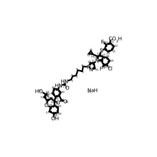 O=C(NCCCCCCn1cc(-n2c(C3CC3)c(Sc3cccc(C(=O)O)c3F)c3ccc(Cl)c(F)c32)cn1)Nc1ccc2c(c1)C(=O)OC21c2ccc(O)cc2Oc2cc(O)ccc21.[NaH]